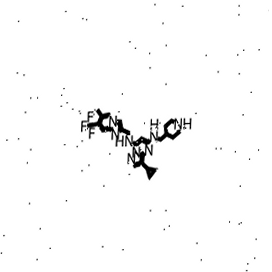 Cc1cn2cc(CNc3cc(NCC4CCNCC4)nc4c(C5CC5)cnn34)nc2cc1C(F)(F)F